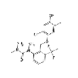 Cc1cc(OCc2c(N(N)C(=O)N(C)N)cccc2C(F)(F)F)c(Cl)cc1O